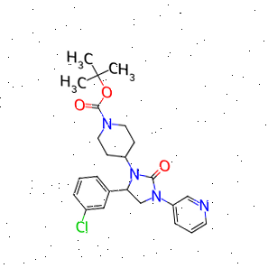 CC(C)(C)OC(=O)N1CCC(N2C(=O)N(c3cccnc3)CC2c2cccc(Cl)c2)CC1